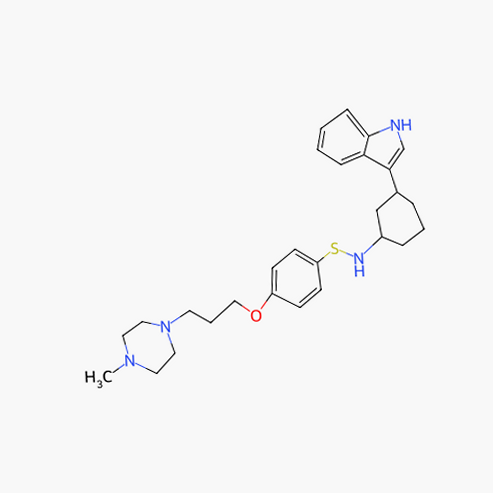 CN1CCN(CCCOc2ccc(SNC3CCCC(c4c[nH]c5ccccc45)C3)cc2)CC1